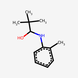 Cc1ccccc1NC(O)C(C)(C)C